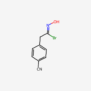 N#Cc1ccc(CC(Br)=NO)cc1